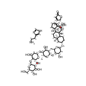 C[C@H]1O[C@@H](O[C@H]2CC[C@@]3(C)[C@H](CC[C@@H]4[C@@H]3C[C@@H](O)[C@]3(C)[C@@H](C5=CC(=O)OC5)CC[C@]43OP(=O)(O)O)C2)C[C@H](O)[C@@H]1O[C@H]1C[C@H](O)[C@H](O[C@H]2C[C@H](O)[C@H](O[C@@H]3O[C@H](CO)[C@@H](O)[C@H](O)[C@H]3O)[C@@H](C)O2)[C@@H](C)O1.NCCc1c[nH]cn1